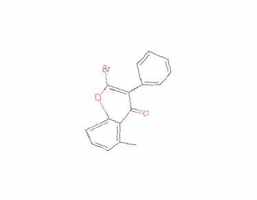 Cc1cccc2oc(Br)c(-c3ccccc3)c(=O)c12